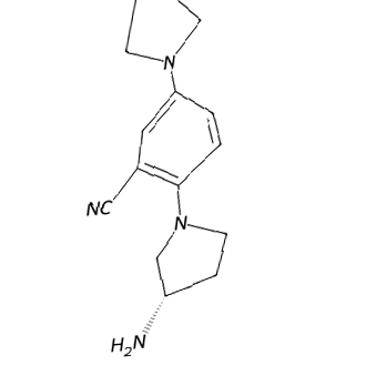 N#Cc1cc(N2CCCC2)ccc1N1CC[C@H](N)C1